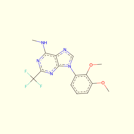 CNc1nc(C(F)(F)F)nc2c1ncn2-c1cccc(OC)c1OC